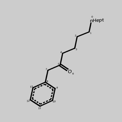 CCCCCCCCCCCC(=O)Cc1ccccc1